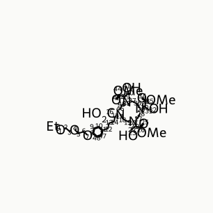 CCOCCOCCOc1ccc(CCCC(C(=O)O)N2CCN(C(CO)C(=O)OC)CCN(C(CO)C(=O)OC)CCN(C(CO)C(=O)OC)CC2)cc1